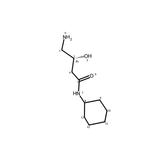 NC[C@H](O)CC(=O)NC1CCCCC1